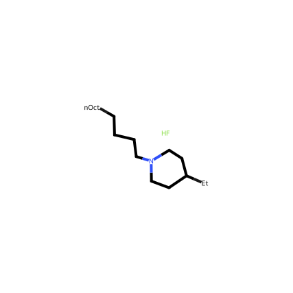 CCCCCCCCCCCCN1CCC(CC)CC1.F